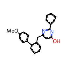 COc1ccc(-c2ccccc2Cc2cc(O)nc(-c3ccccc3)n2)cc1